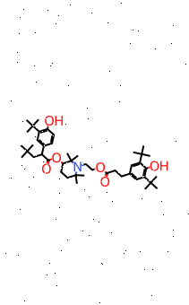 CC(C)(C)CC(C(=O)OC1CCC(C)(C)N(CCOC(=O)CCc2cc(C(C)(C)C)c(O)c(C(C)(C)C)c2)C1(C)C)c1ccc(O)c(C(C)(C)C)c1